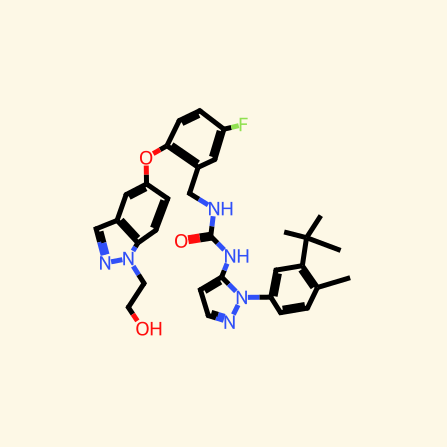 Cc1ccc(-n2nccc2NC(=O)NCc2cc(F)ccc2Oc2ccc3c(cnn3CCO)c2)cc1C(C)(C)C